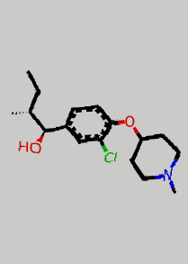 CC[C@@H](C)[C@H](O)c1ccc(OC2CCN(C)CC2)c(Cl)c1